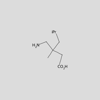 CC(C)CC(C)(CN)CC(=O)O